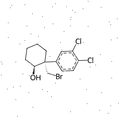 O[C@H]1CCCC[C@@]1(CBr)c1ccc(Cl)c(Cl)c1